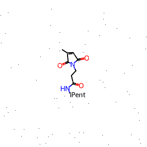 CCCC(C)NC(=O)CCN1C(=O)C=C(C)C1=O